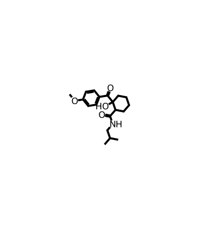 COc1ccc(C(=O)C2(O)CCCCC2C(=O)NCC(C)C)cc1